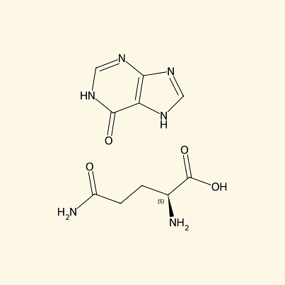 NC(=O)CC[C@H](N)C(=O)O.O=c1[nH]cnc2nc[nH]c12